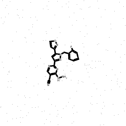 N#Cc1cnc(-c2cc(-c3ccon3)n(Cc3ccccc3F)n2)nc1NN